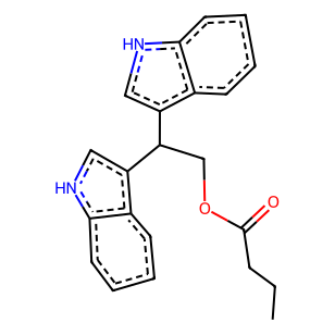 CCCC(=O)OCC(c1c[nH]c2ccccc12)c1c[nH]c2ccccc12